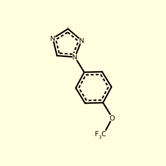 FC(F)(F)Oc1ccc(-n2cn[c]n2)cc1